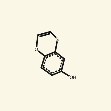 Oc1ccc2c(c1)SC=CO2